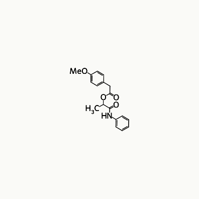 COc1ccc(CC(=O)OC(C)C(=O)Nc2ccccc2)cc1